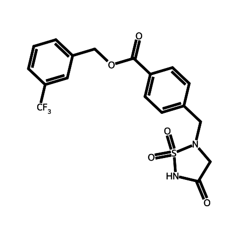 O=C1CN(Cc2ccc(C(=O)OCc3cccc(C(F)(F)F)c3)cc2)S(=O)(=O)N1